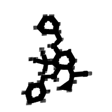 O=C(c1ccc(OCc2ccccc2)c(C(F)(F)F)c1OCc1ccccc1)C1CC1